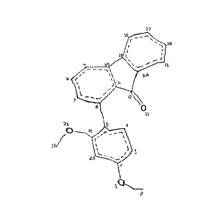 COc1ccc(-c2cccc3c2C(=O)c2ccccc2-3)c(OC)c1